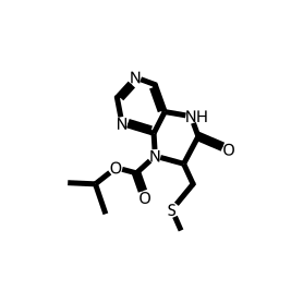 CSCC1C(=O)Nc2cncnc2N1C(=O)OC(C)C